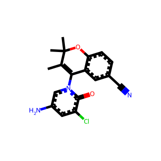 CC1=C(n2cc(N)cc(Cl)c2=O)c2cc(C#N)ccc2OC1(C)C